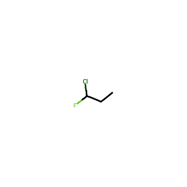 CCC(F)Cl